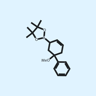 COC1(c2ccccc2)CC=CC(B2OC(C)(C)C(C)(C)O2)C1